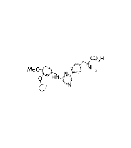 COc1ccc(CNc2cncc(-c3ccc(C[C@H](N)C(=O)O)cc3)n2)cc1OC1CCCC1